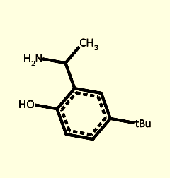 CC(N)c1cc(C(C)(C)C)ccc1O